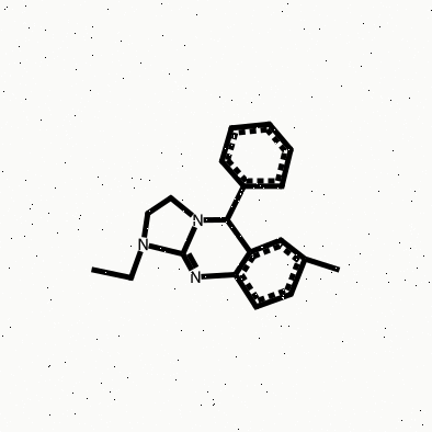 CCN1CCN2C1=Nc1ccc(C)cc1C2c1ccccc1